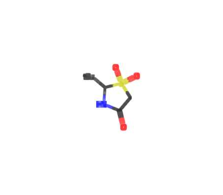 CC(C)(C)C1NC(=O)CS1(=O)=O